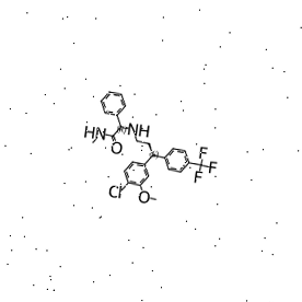 CNC(=O)[C@H](NCC[C@@H](c1ccc(C(F)(F)F)cc1)c1ccc(Cl)c(OC)c1)c1ccccc1